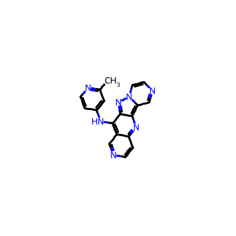 Cc1cc(Nc2c3cnccc3nc3c2nn2ccncc32)ccn1